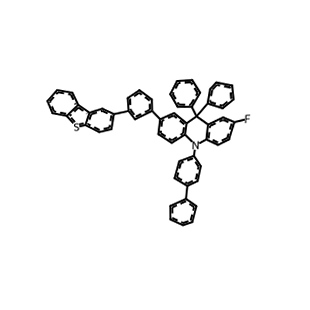 Fc1ccc2c(c1)C(c1ccccc1)(c1ccccc1)c1cc(-c3cccc(-c4ccc5sc6ccccc6c5c4)c3)ccc1N2c1ccc(-c2ccccc2)cc1